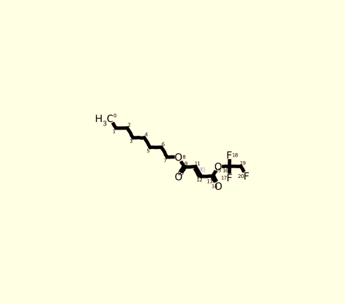 CCCCCCCCOC(=O)/C=C/C(=O)OC(F)(F)CF